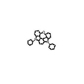 c1ccc(-n2c3cccc4oc5cccc6c5c5c(c43)c2ccc5n6-c2ccccc2)cc1